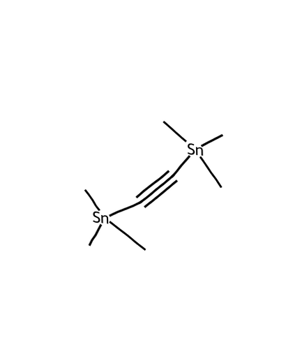 [CH3][Sn]([CH3])([CH3])[C]#[C][Sn]([CH3])([CH3])[CH3]